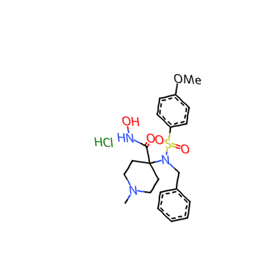 COc1ccc(S(=O)(=O)N(Cc2ccccc2)C2(C(=O)NO)CCN(C)CC2)cc1.Cl